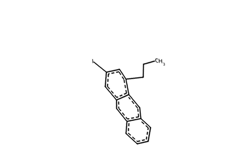 CCCc1cc(I)cc2cc3ccccc3cc12